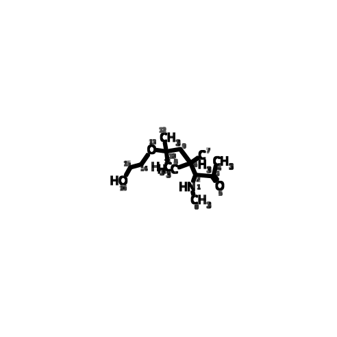 CNC(C(C)=O)C(C)(C)CC(C)(C)OCCO